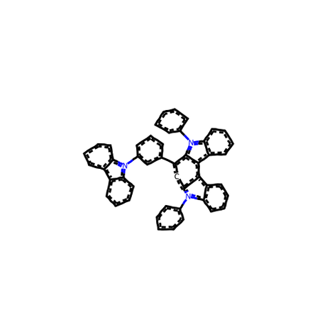 c1ccc(-n2c3ccccc3c3c4c5ccccc5n(-c5ccccc5)c4c(-c4cccc(-n5c6ccccc6c6ccccc65)c4)cc32)cc1